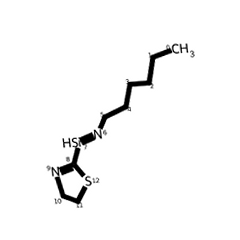 CCCCCCN=[SiH]C1=NCCS1